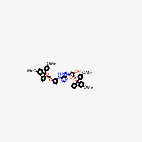 COc1ccc(C(OCCOc2cccc(Nc3ncnc4c3ncn4[C@H]3C[C@H](O)[C@@H](COC(c4ccccc4)(c4ccc(OC)cc4)c4ccc(OC)cc4)O3)c2)(c2ccccc2)c2ccc(OC)cc2)cc1